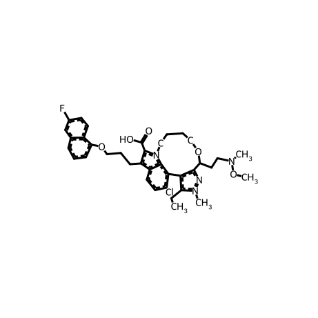 CCc1c2c(nn1C)C(CCN(C)OC)OCCCCn1c(C(=O)O)c(CCCOc3cccc4cc(F)ccc34)c3ccc(Cl)c-2c31